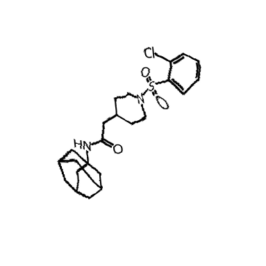 O=C(CC1CCN(S(=O)(=O)c2ccccc2Cl)CC1)NC12CC3CC(CC(C3)C1)C2